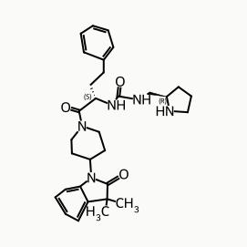 CC1(C)C(=O)N(C2CCN(C(=O)[C@H](CCc3ccccc3)NC(=O)NC[C@H]3CCCN3)CC2)c2ccccc21